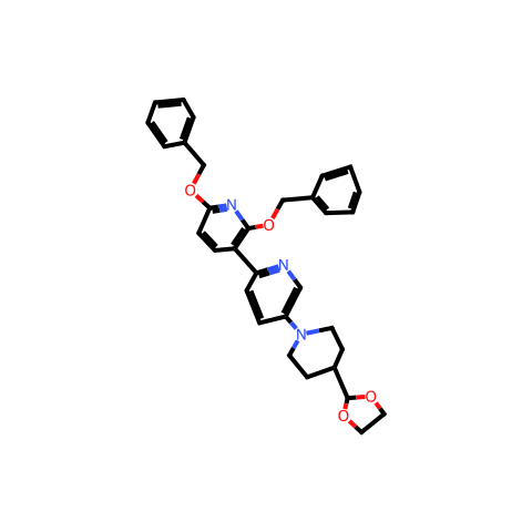 c1ccc(COc2ccc(-c3ccc(N4CCC(C5OCCO5)CC4)cn3)c(OCc3ccccc3)n2)cc1